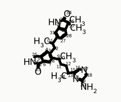 CC(Cc1cc2c(cc1C(C)CCC(C)c1cncc(N)n1)C(=O)NC2)c1ccc2c(c1)NC(=O)C2(C)C